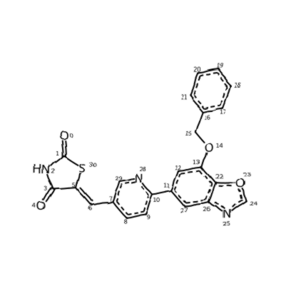 O=C1NC(=O)C(=Cc2ccc(-c3cc(OCc4ccccc4)c4ocnc4c3)nc2)S1